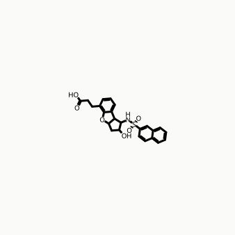 O=C(O)CCc1cccc2c1OC1CC(O)C(NS(=O)(=O)c3ccc4ccccc4c3)C21